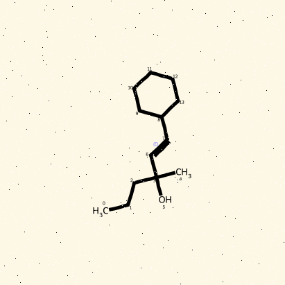 CCCC(C)(O)/C=C/C1CCCCC1